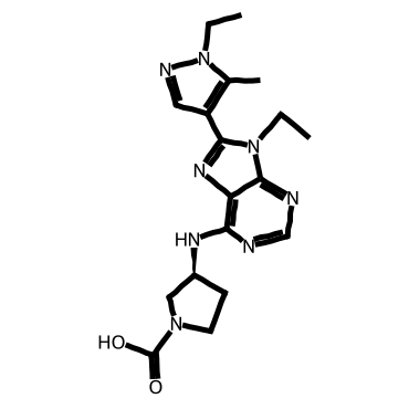 CCn1ncc(-c2nc3c(N[C@H]4CCN(C(=O)O)C4)ncnc3n2CC)c1C